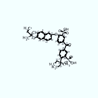 CCC(C)(C)Oc1ccc2cc(Oc3ccc(C(=O)c4ccc(C(C)(CC)CC)c(S(=O)(=O)O)c4)cc3S(=O)(=O)O)ccc2c1